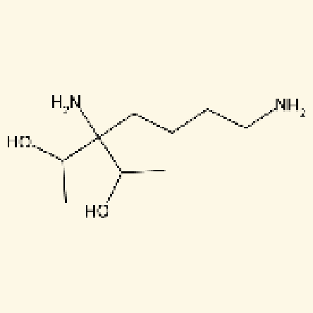 CC(O)C(N)(CCCCN)C(C)O